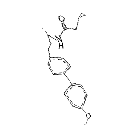 CCOc1ccc(-c2ccc(CC(C)NC(=O)CC3CC3)cc2)cc1